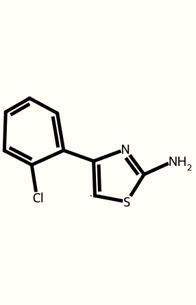 Nc1nc(-c2ccccc2Cl)[c]s1